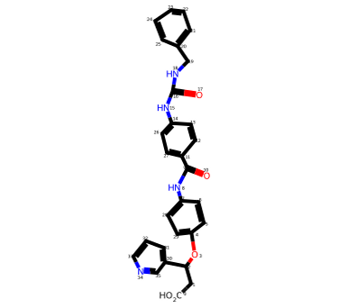 O=C(O)CC(Oc1ccc(NC(=O)c2ccc(NC(=O)NCc3ccccc3)cc2)cc1)c1cccnc1